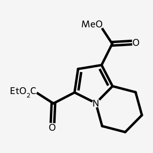 CCOC(=O)C(=O)c1cc(C(=O)OC)c2n1CCCC2